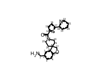 NCc1ccc2c(c1)C1(CCN(C(=O)c3ccc(-c4ccccn4)s3)CC1)CO2